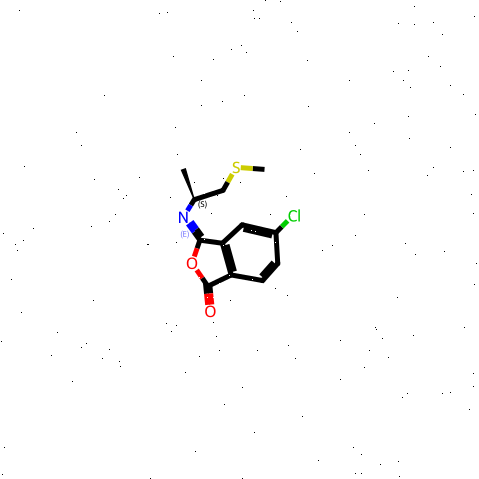 CSC[C@H](C)/N=C1/OC(=O)c2ccc(Cl)cc21